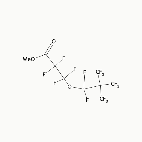 COC(=O)C(F)(F)C(F)(F)OC(F)(F)C(C(F)(F)F)(C(F)(F)F)C(F)(F)F